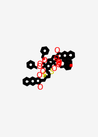 O=C1C(=CC2=CC3=C(c4sc5cc(C=C6C(=O)c7cc8ccccc8cc7C6=O)sc5c4C3(C(=O)OCc3ccccc3)C(=O)OCc3ccccc3)C2(C(=O)OCc2ccccc2)C(=O)OCc2ccccc2)C(=O)c2cc3ccccc3cc21